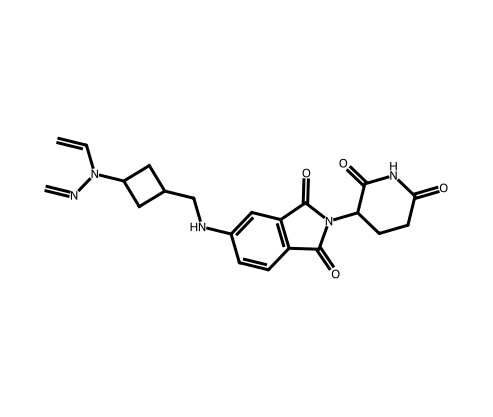 C=CN(N=C)C1CC(CNc2ccc3c(c2)C(=O)N(C2CCC(=O)NC2=O)C3=O)C1